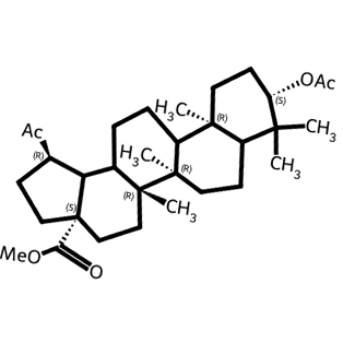 COC(=O)[C@]12CC[C@@H](C(C)=O)C1C1CCC3[C@@]4(C)CC[C@H](OC(C)=O)C(C)(C)C4CC[C@@]3(C)[C@]1(C)CC2